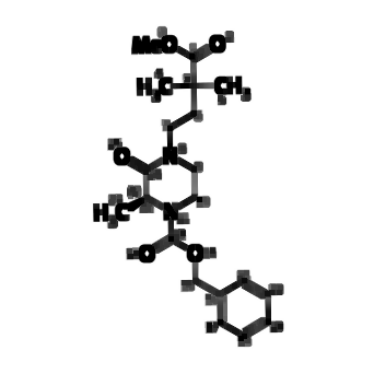 COC(=O)C(C)(C)CCN1CCN(C(=O)OCc2ccccc2)[C@@H](C)C1=O